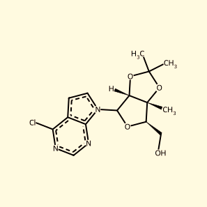 CC1(C)O[C@H]2C(n3ccc4c(Cl)ncnc43)O[C@H](CO)[C@@]2(C)O1